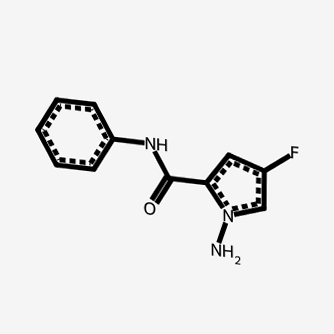 Nn1cc(F)cc1C(=O)Nc1ccccc1